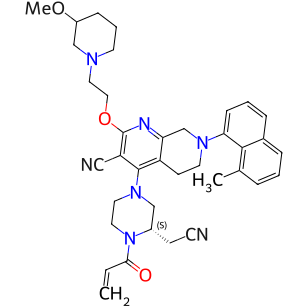 C=CC(=O)N1CCN(c2c(C#N)c(OCCN3CCCC(OC)C3)nc3c2CCN(c2cccc4cccc(C)c24)C3)C[C@@H]1CC#N